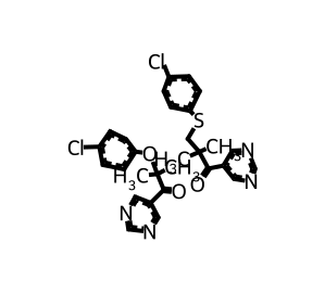 CC(C)(CSc1ccc(Cl)cc1)C(=O)c1cncnc1.CC(C)(Oc1ccc(Cl)cc1)C(=O)c1cncnc1